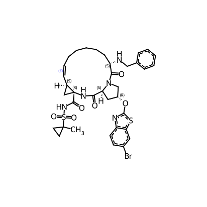 CC1(S(=O)(=O)NC(=O)[C@@]23C[C@H]2/C=C\CCCCC[C@H](NCc2ccccc2)C(=O)N2C[C@H](Oc4nc5ccc(Br)cc5s4)C[C@H]2C(=O)N3)CC1